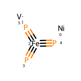 [Ni].[P]#[Fe](#[P])#[P].[V]